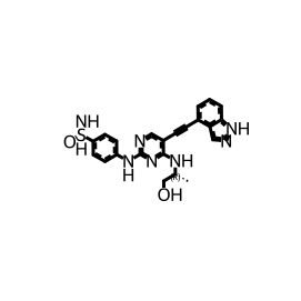 C[C@H](CO)Nc1nc(Nc2ccc([SH](=N)=O)cc2)ncc1C#Cc1cccc2[nH]ncc12